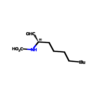 CC(C)(C)CCCC[C@@H](C=O)NC(=O)O